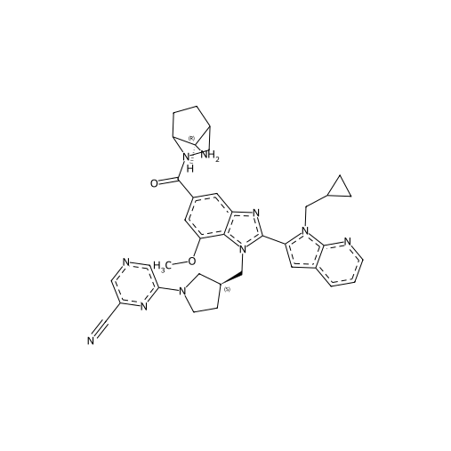 COc1cc(C(=O)N2CC3CCC2[C@@H]3N)cc2nc(-c3cc4cccnc4n3CC3CC3)n(C[C@H]3CCN(c4cncc(C#N)n4)C3)c12